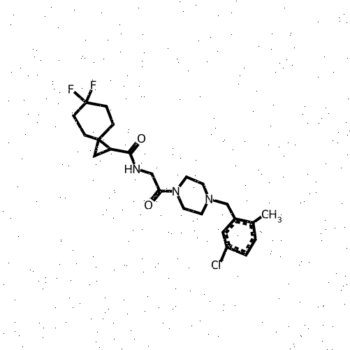 Cc1ccc(Cl)cc1CN1CCN(C(=O)CNC(=O)C2CC23CCC(F)(F)CC3)CC1